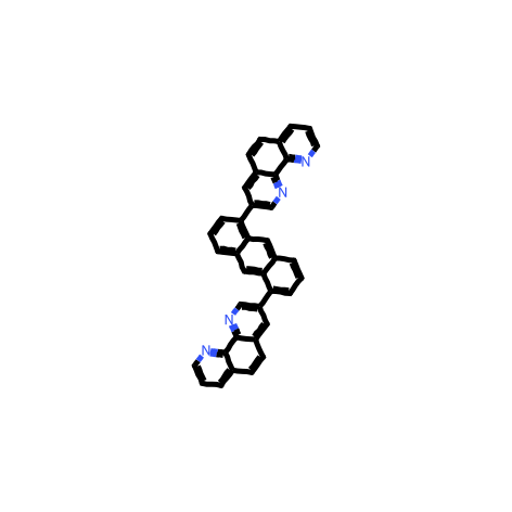 c1cc(-c2cnc3c(ccc4cccnc43)c2)c2cc3cccc(-c4cnc5c(ccc6cccnc65)c4)c3cc2c1